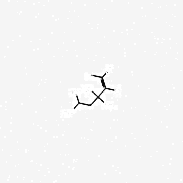 CC(O)CC(C)(C)C(Cl)=C(Cl)Cl